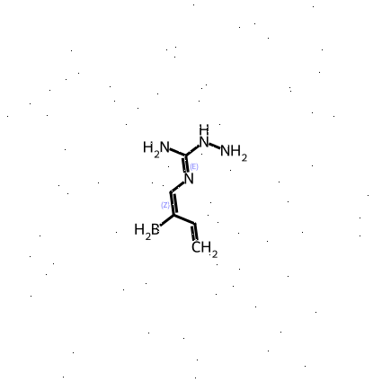 B/C(C=C)=C/N=C(\N)NN